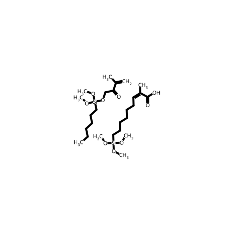 C=C(C)C(=O)CO[Si](CCCCCC)(OC)OC.CO[Si](CCCCCCC=C(C)C(=O)O)(OC)OC